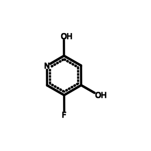 Oc1cc(O)c(F)cn1